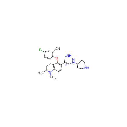 CC1CCc2c(ccc(/C(C=N)=C/NC3CCNCC3)c2Oc2ccc(F)cc2C#N)N1C